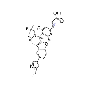 CCn1cc(-c2ccc3oc4c(c3c2)C[C@@H](C)N(CC(C)(C)F)[C@@H]4c2c(F)cc(/C=C/C(=O)O)cc2F)cn1